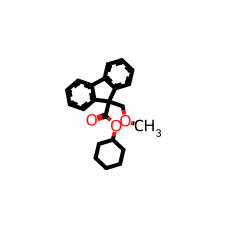 COCC1(C(=O)OC2CCCCC2)c2ccccc2-c2ccccc21